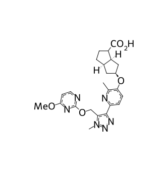 COc1ccnc(OCc2c(-c3ccc(O[C@H]4C[C@H]5CCC(C(=O)O)[C@H]5C4)c(C)n3)nnn2C)n1